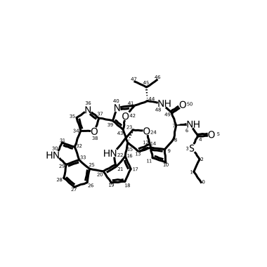 CCCSC(=O)N[C@H]1Cc2ccc3c(c2)[C@]24c5cccc(c5NC2O3)-c2cccc3[nH]cc(c23)-c2cnc(o2)-c2nc(oc24)[C@H](C(C)C)NC1=O